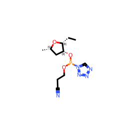 CC[C@H]1O[C@@H](C)C[C@H]1OP(OCCC#N)n1cnnn1